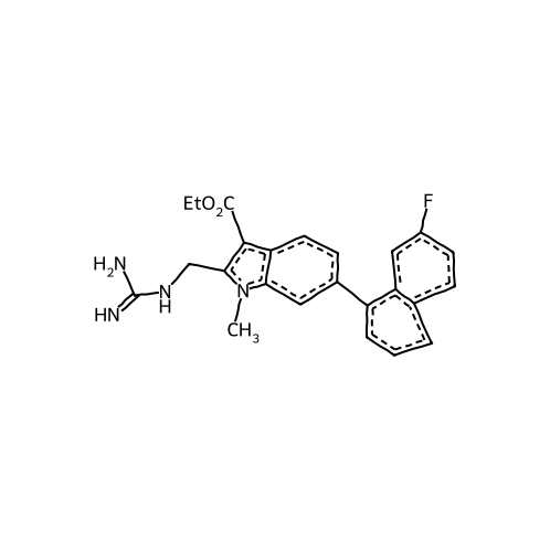 CCOC(=O)c1c(CNC(=N)N)n(C)c2cc(-c3cccc4ccc(F)cc34)ccc12